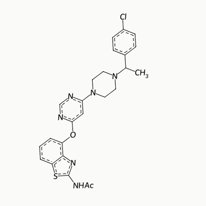 CC(=O)Nc1nc2c(Oc3cc(N4CCN(C(C)c5ccc(Cl)cc5)CC4)ncn3)cccc2s1